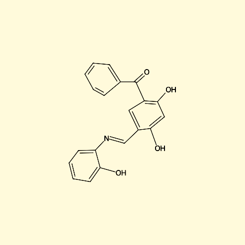 O=C(c1ccccc1)c1cc(C=Nc2ccccc2O)c(O)cc1O